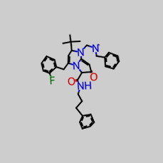 CN(Cc1ccccc1)CN1C2=CC(=O)C(C(=O)NCCCc3ccccc3)N2C(Cc2ccccc2F)=CC1C(C)(C)C